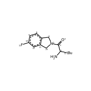 CC(C)(C)C(N)C(=O)N1Cc2ccc(F)cc2C1